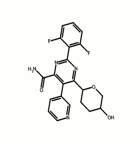 NC(=O)c1nc(-c2c(F)cccc2F)nc(C2CCC(O)CO2)c1-c1cccnc1